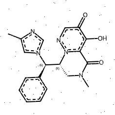 Cc1cn([C@H](c2ccccc2)[C@H]2CN(C)C(=O)c3c(O)c(=O)cnn32)cn1